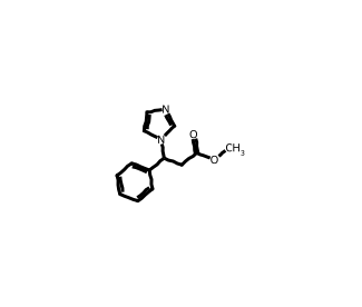 COC(=O)CC(c1ccccc1)n1ccnc1